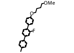 COCCCCOc1ccc(-c2ccc(-c3ccc(C)cc3)cc2F)cc1